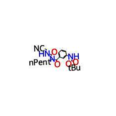 CCCCCN(C(=O)NCC#N)C(=O)c1cccc(NC(=O)OC(C)(C)C)c1